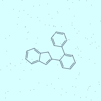 C1=C(c2ccccc2-c2ccccc2)Cc2ccccc21